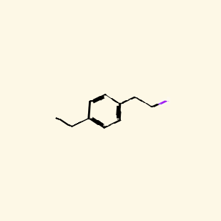 CCc1ccc(CCI)cc1